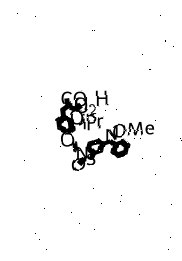 CON=C(c1ccccc1)c1ccc2c(c1)sc(=O)n2CCOc1ccc(CC(C(=O)O)C(=O)OC(C)C)cc1